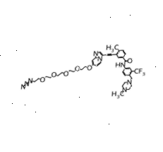 Cc1ccc(C(=O)Nc2ccc(CN3CCN(C)CC3)c(C(F)(F)F)c2)cc1C#Cc1cnc2cc(OCCOCCOCCOCCOCCN=[N+]=[N-])ccn12